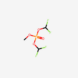 COP(=O)(OC(F)F)OC(F)F